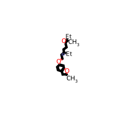 CC/C(=C\COc1ccc2c(c1)OC(C)C2)CCC1OC1(C)CC